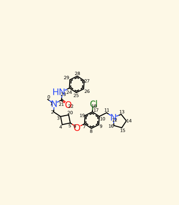 CN(CC1CC(Oc2ccc(CN3CCCC3)c(Cl)c2)C1)C(=O)Nc1ccccc1